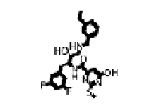 CCc1cccc(CNC[C@H](O)[C@H](Cc2cc(F)cc(F)c2)NC(=O)c2cc(O)nc(SC)n2)c1